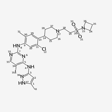 Cc1cc(Nc2nc(Nc3cc(Cl)c(C4CCN(CCS(=O)(=O)N5CCC5)CC4)cc3C)ncc2I)n[nH]1